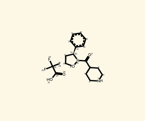 O=C(C1CCNCC1)N1OCC[C@H]1c1ccccc1.O=C(O)C(F)(F)F